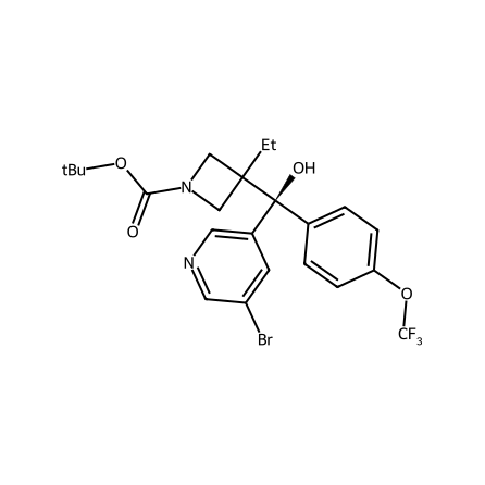 CCC1([C@](O)(c2ccc(OC(F)(F)F)cc2)c2cncc(Br)c2)CN(C(=O)OC(C)(C)C)C1